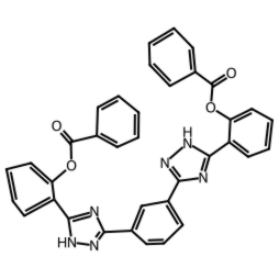 O=C(Oc1ccccc1-c1nc(-c2cccc(-c3n[nH]c(-c4ccccc4OC(=O)c4ccccc4)n3)c2)n[nH]1)c1ccccc1